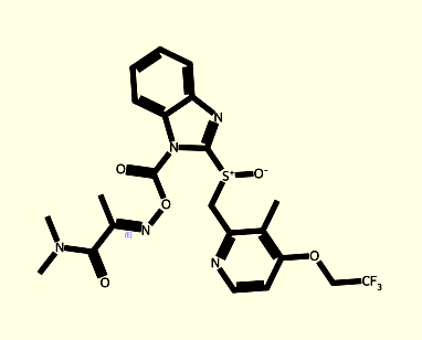 C/C(=N\OC(=O)n1c([S+]([O-])Cc2nccc(OCC(F)(F)F)c2C)nc2ccccc21)C(=O)N(C)C